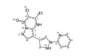 CCc1[nH]c2c(C3=CN(c4ccccn4)NC3)cnn2c(=O)c1CC